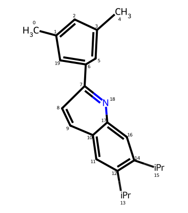 Cc1cc(C)cc(-c2ccc3cc(C(C)C)c(C(C)C)cc3n2)c1